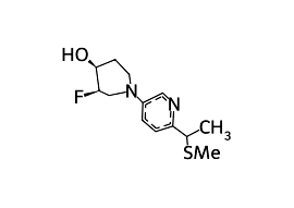 CSC(C)c1ccc(N2CC[C@H](O)[C@H](F)C2)cn1